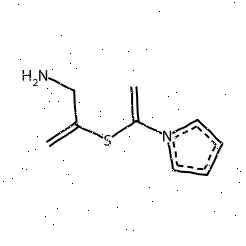 C=C(CN)SC(=C)n1cccc1